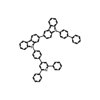 c1ccc(-c2ccc(-n3c4ccccc4c4cc(-c5ccc6c7ccccc7n(-c7ccc(-c8cc(-c9ccccc9)nc(-c9ccccc9)c8)cc7)c6c5)ccc43)cc2)cc1